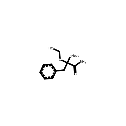 CCCCCCCC(Cc1ccccc1)(OCO)C(N)=O